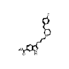 COC(=O)c1ccc2c(CCCCN3CCCC(Cc4ccc(F)cc4)C3)c[nH]c2c1